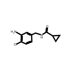 Nc1cc(CNC(=O)C2CC2)ccc1Cl